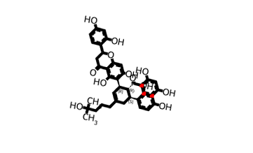 CC(C)(O)CCCC1=C[C@@H](c2c(O)cc3c(c2O)C(=O)CC(c2ccc(O)cc2O)O3)[C@H](C(=O)c2ccc(O)cc2O)[C@@H](c2ccc(O)cc2O)C1